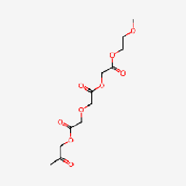 COCCOC(=O)COC(=O)COCC(=O)OCC(C)=O